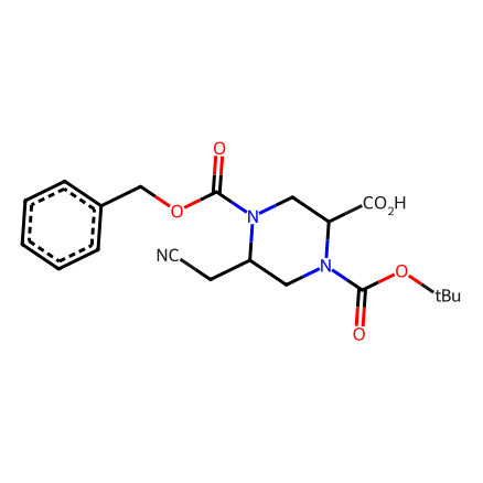 CC(C)(C)OC(=O)N1CC(CC#N)N(C(=O)OCc2ccccc2)CC1C(=O)O